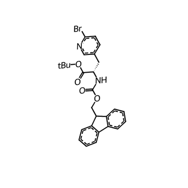 CC(C)(C)OC(=O)[C@H](Cc1ccc(Br)nc1)NC(=O)OCC1c2ccccc2-c2ccccc21